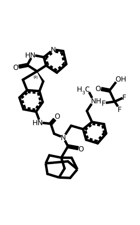 CNCc1ccccc1CN(CC(=O)Nc1ccc2c(c1)C[C@@]1(C2)C(=O)Nc2ncccc21)C(=O)C12CC3CC(CC(C3)C1)C2.O=C(O)C(F)(F)F